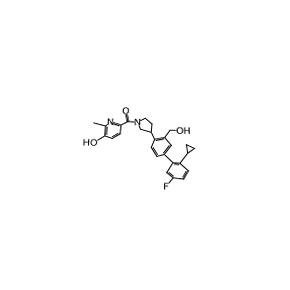 Cc1nc(C(=O)N2CCC(c3ccc(-c4cc(F)ccc4C4CC4)cc3CO)C2)ccc1O